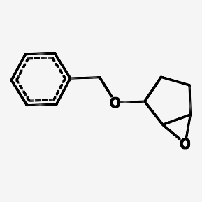 c1ccc(COC2CCC3OC23)cc1